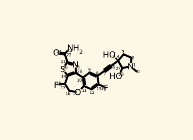 CN1CC[C@@](O)(C#Cc2cc3c(cc2F)OCC(F)c2sc(C(N)=O)nc2-3)C1O